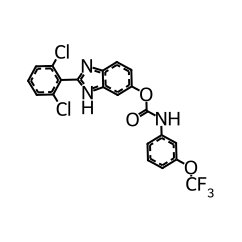 O=C(Nc1cccc(OC(F)(F)F)c1)Oc1ccc2nc(-c3c(Cl)cccc3Cl)[nH]c2c1